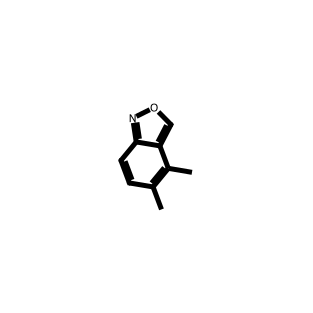 Cc1ccc2nocc2c1C